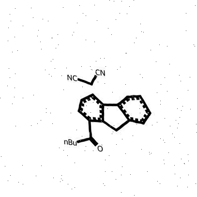 CCCCC(=O)c1cccc2c1Cc1ccccc1-2.N#CCC#N